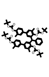 Cc1cc(-c2cc(C)c(OC(=O)OC(C)(C)C)c(C(c3ccccc3)c3cc(-c4ccc(OC(=O)OC(C)(C)C)c(C)c4)cc(C)c3OC(=O)OC(C)(C)C)c2)ccc1OC(=O)OC(C)(C)C